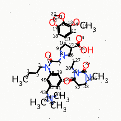 CCCCN(C(=O)CN1C[C@H](c2cc(OC)c3c(c2)OCO3)[C@@H](C(=O)O)[C@@H]1CCN1C(=O)CCN(C)C1=O)c1cccc(C[N+](C)(C)C)c1